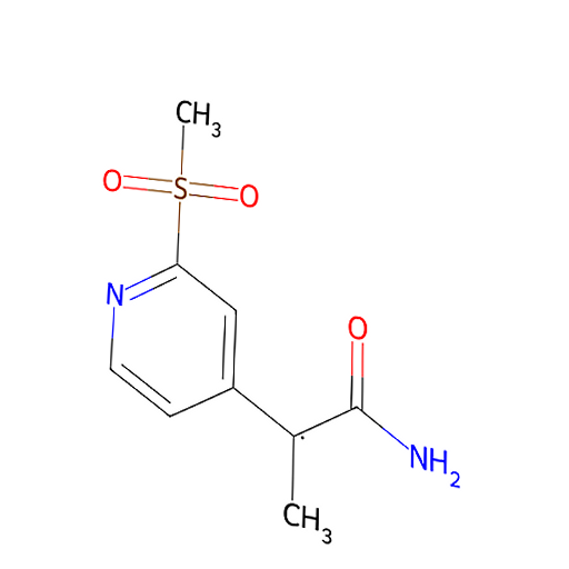 C[C](C(N)=O)c1ccnc(S(C)(=O)=O)c1